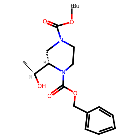 C[C@@H](O)[C@@H]1CN(C(=O)OC(C)(C)C)CCN1C(=O)OCc1ccccc1